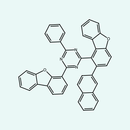 c1ccc(-c2nc(-c3cccc4c3oc3ccccc34)nc(-c3c(-c4ccc5ccccc5c4)ccc4oc5ccccc5c34)n2)cc1